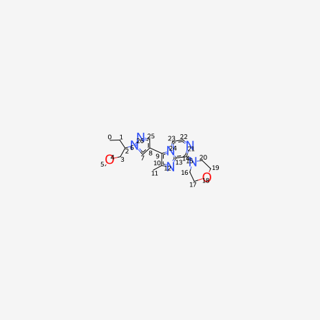 CCC(COC)n1cc(-c2c(C)nc3c(N4CCOCC4)nccn23)cn1